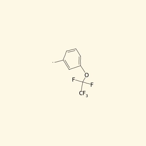 [CH2]c1cccc(OC(F)(F)C(F)(F)F)c1